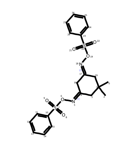 CC1(C)C/C(=N/OS(=O)(=O)c2ccccc2)C/C(=N/OS(=O)(=O)c2ccccc2)C1